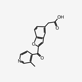 Cc1cnccc1C(=O)c1cc2cc(CC(=O)O)ccc2o1